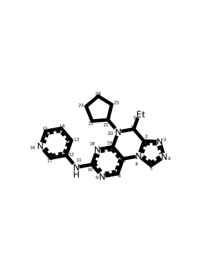 CCC1c2nncn2-c2cnc(Nc3cccnc3)nc2N1C1CCCC1